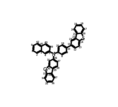 c1ccc2cc(N(c3ccc(-c4ccc5sc6ccccc6c5c4)cc3)c3ccc4c(c3)oc3ccccc34)ccc2c1